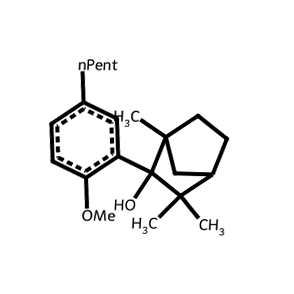 CCCCCc1ccc(OC)c(C2(O)C3(C)CCC(C3)C2(C)C)c1